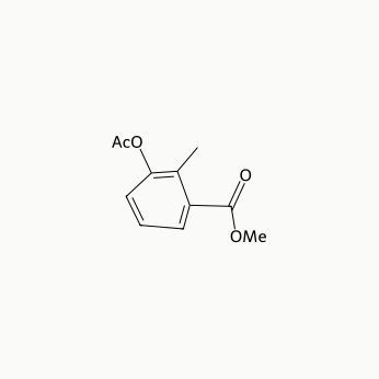 COC(=O)c1cccc(OC(C)=O)c1C